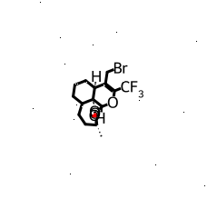 C[C@]12CCC3CCC[C@H]4C(CBr)=C(C(F)(F)F)O[C@H](O1)[C@@]34OO2